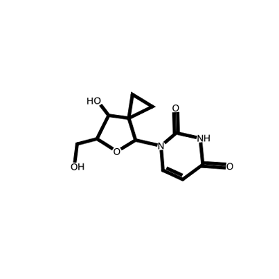 O=c1ccn(C2OC(CO)C(O)C23CC3)c(=O)[nH]1